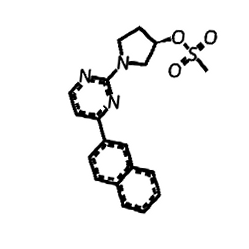 CS(=O)(=O)O[C@@H]1CCN(c2nccc(-c3ccc4ccccc4c3)n2)C1